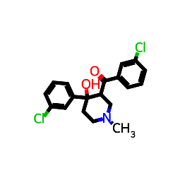 CN1CCC(O)(c2cccc(Cl)c2)C(C(=O)c2cccc(Cl)c2)C1